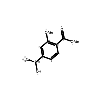 COC(=O)c1ccc([C@H](C)O)cc1OC